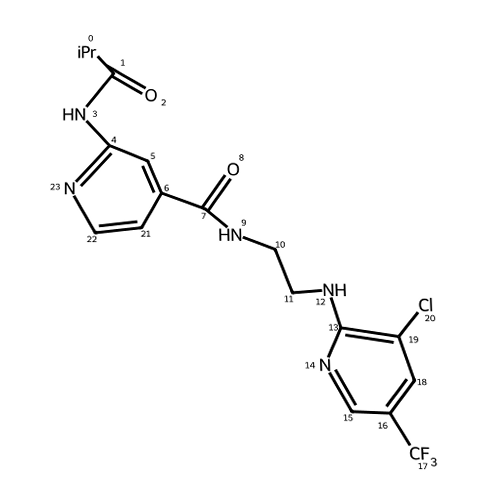 CC(C)C(=O)Nc1cc(C(=O)NCCNc2ncc(C(F)(F)F)cc2Cl)ccn1